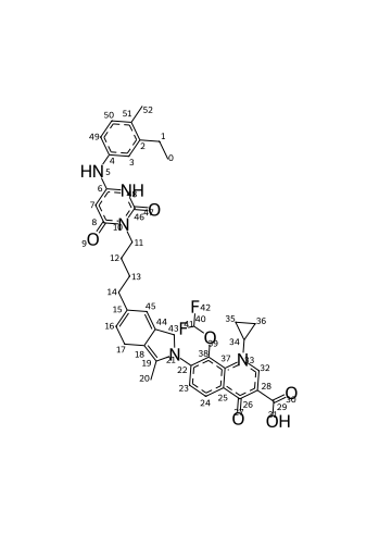 CCc1cc(Nc2cc(=O)n(CCCCC3=CCC4=C(C)N(c5ccc6c(=O)c(C(=O)O)cn(C7CC7)c6c5OC(F)F)CC4=C3)c(=O)[nH]2)ccc1C